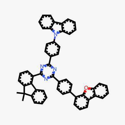 CC1(C)c2ccccc2-c2c(-c3nc(-c4ccc(-c5cccc6c5oc5ccccc56)cc4)nc(-c4ccc(-n5c6ccccc6c6ccccc65)cc4)n3)cccc21